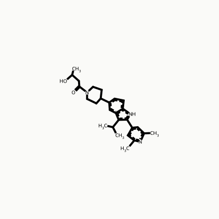 Cc1cc(-c2[nH]c3ccc(C4CCN(C(=O)CC(C)O)CC4)cc3c2C(C)C)cc(C)n1